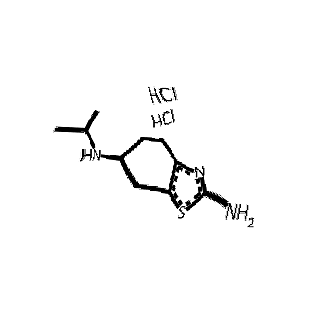 CC(C)NC1CCc2nc(N)sc2C1.Cl.Cl